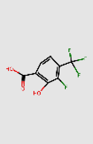 O=C(O)c1ccc(C(F)(F)F)c(F)c1O